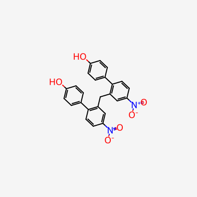 O=[N+]([O-])c1ccc(-c2ccc(O)cc2)c(Cc2cc([N+](=O)[O-])ccc2-c2ccc(O)cc2)c1